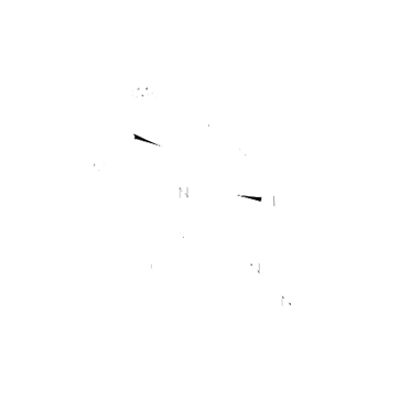 COC(=O)[C@@H]1N2C(=O)C(=[N+]=[N-])[C@H]2SC1(C)C